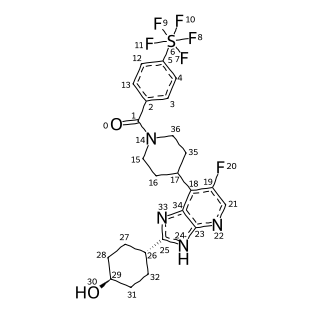 O=C(c1ccc(S(F)(F)(F)(F)F)cc1)N1CCC(c2c(F)cnc3[nH]c([C@H]4CC[C@H](O)CC4)nc23)CC1